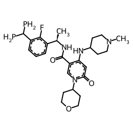 C[C@@H](NC(=O)c1cn(C2CCOCC2)c(=O)cc1NC1CCN(C)CC1)c1cccc(C(P)P)c1F